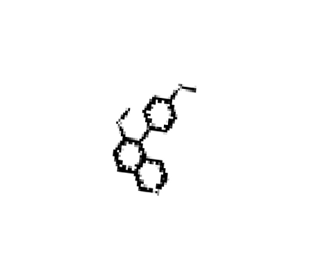 COc1ccc2cnccc2c1-c1ccc(OI)cc1